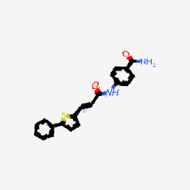 NC(=O)c1ccc(NC(=O)/C=C/c2ccc(-c3ccccc3)s2)cc1